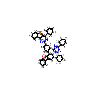 c1ccc(-c2nc(-c3ccccc3)nc(-c3cc(-c4nc(-c5ccccc5)c5sc6ccccc6c5n4)ccc3-c3cccc4c3oc3ccccc34)n2)cc1